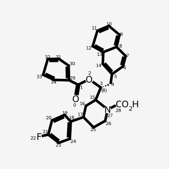 O=C(O[C@H](Cc1ccc2ccccc2c1)C1CC(c2ccc(F)cc2)CCN1C(=O)O)c1ccccc1